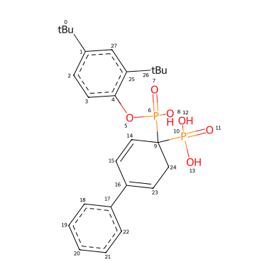 CC(C)(C)c1ccc(OP(=O)(O)C2(P(=O)(O)O)C=CC(c3ccccc3)=CC2)c(C(C)(C)C)c1